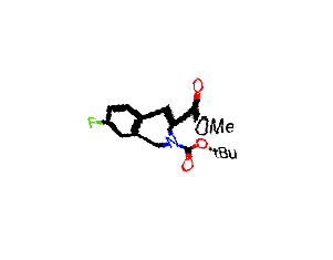 COC(=O)C1Cc2ccc(F)cc2CN1C(=O)OC(C)(C)C